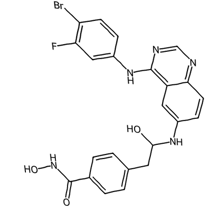 O=C(NO)c1ccc(CC(O)Nc2ccc3ncnc(Nc4ccc(Br)c(F)c4)c3c2)cc1